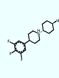 CCC[C@H]1CC[C@H]([SiH]2CCC(c3cc(F)c(F)c(F)c3)CC2)CC1